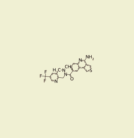 CN(C)N(Cc1ccc(C(F)(F)F)cn1)C(=O)c1ccc2nc(N)c3cscc3c2c1